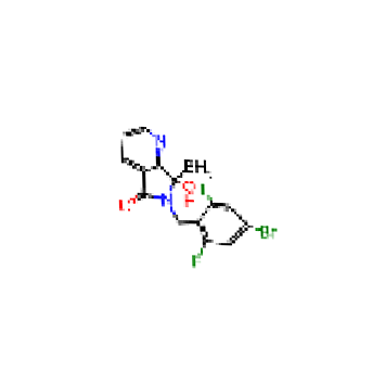 BC1(O)c2ncccc2C(=O)N1Cc1c(F)cc(Br)cc1F